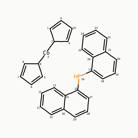 C1=C[CH]([Co][CH]2C=CC=C2)C=C1.c1ccc2c(Pc3cccc4ccccc34)cccc2c1